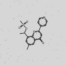 Cc1cc(C(C)OS(C)(=O)=O)c2oc(-c3ccncc3)cc(=O)c2c1